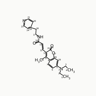 CCN(CC)c1ccc2c(C)c(C=CC(=O)NCCc3ccncc3)c(=O)oc2c1